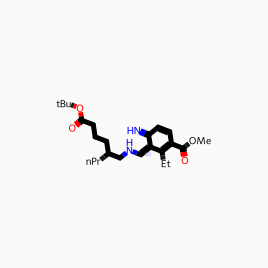 CCCC(CCCC(=O)OC(C)(C)C)CN/C=C1\C(=N)C=CC(C(=O)OC)=C1CC